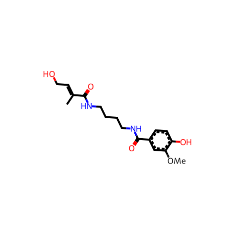 COc1cc(C(=O)NCCCCNC(=O)/C(C)=C/CO)ccc1O